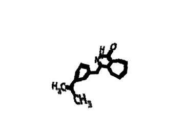 CC(C)c1cccc(CC2=NNC(=O)C3CCCCCC23)c1